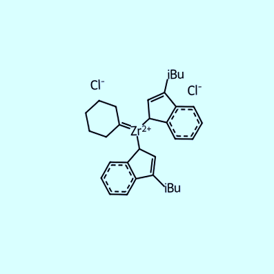 CCC(C)C1=C[CH]([Zr+2](=[C]2CCCCC2)[CH]2C=C(C(C)CC)c3ccccc32)c2ccccc21.[Cl-].[Cl-]